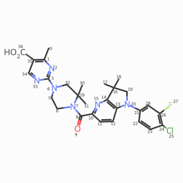 Cc1nc(N2CCN(C(=O)c3ccc4c(n3)C(C)(C)CN4c3ccc(Cl)c(F)c3)C(C)(C)C2)ncc1C(=O)O